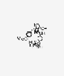 COc1ccc(Cn2nc(NC3CCC(O[Si](C)(C)C(C)(C)C)CC3)c3c(O)ccnc32)cc1